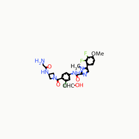 COc1ccc(-c2cnc(C(=O)Nc3ccc(C(=O)N4CC(NC(=O)CN)C4)c(Cl)c3)n2C)c(F)c1F.O=CO